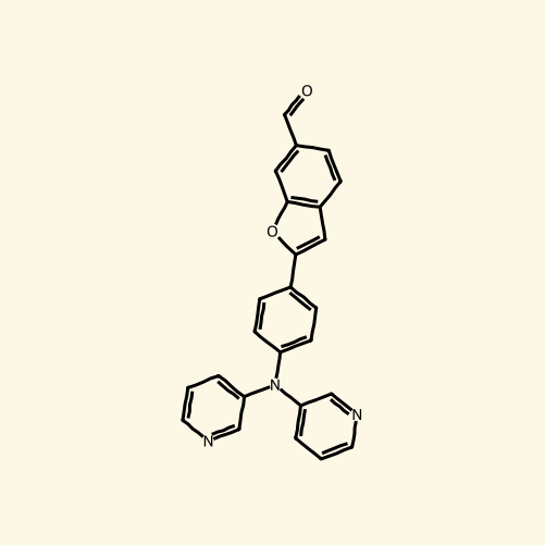 O=Cc1ccc2cc(-c3ccc(N(c4cccnc4)c4cccnc4)cc3)oc2c1